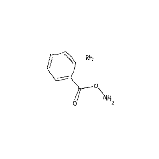 NOC(=O)c1ccccc1.[Rh]